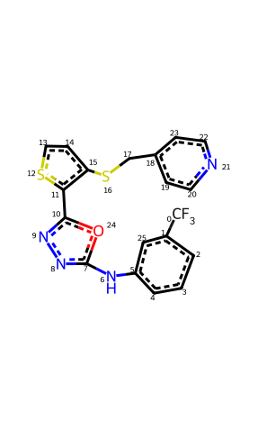 FC(F)(F)c1cccc(Nc2nnc(-c3sccc3SCc3ccncc3)o2)c1